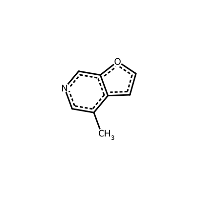 Cc1cncc2occc12